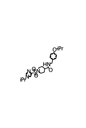 CC(C)Oc1ccc(CNC(=O)C2CCN(S(=O)(=O)c3cn(C(C)C)cn3)CC2)cc1